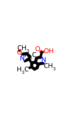 COc1ccc(-c2c(C)ccc3c(C)nc(C(=O)O)c(C)c23)cn1